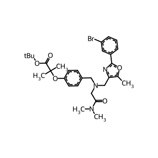 Cc1oc(-c2cccc(Br)c2)nc1CN(CC(=O)N(C)C)Cc1ccc(OC(C)(C)C(=O)OC(C)(C)C)cc1